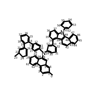 Cc1ccc2c(c1)cc(N(c1ccc(-c3ccccc3C3=CC(C)CC=C3)cc1)c1cccc(-c3cccc4c3c3ccc5ccccc5c3n4-c3ccccc3)c1)c1ccccc12